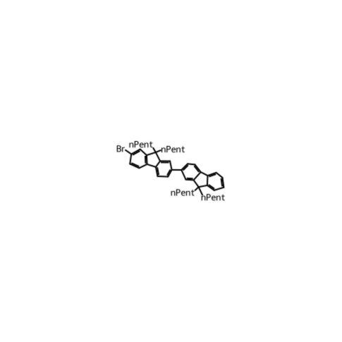 CCCCCC1(CCCCC)c2ccccc2-c2ccc(-c3ccc4c(c3)C(CCCCC)(CCCCC)c3cc(Br)ccc3-4)cc21